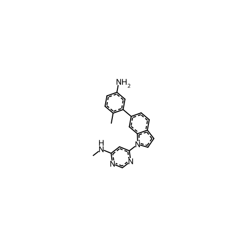 CNc1cc(-n2ccc3ccc(-c4cc(N)ccc4C)cc32)ncn1